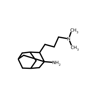 CN(C)CCCC1C2CC3CC(C2)CC1(N)C3